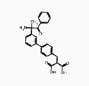 CC(N)(C(=O)c1ccccc1)c1cccc(-c2ccc(CC(C(=O)O)C(=O)O)cc2)c1